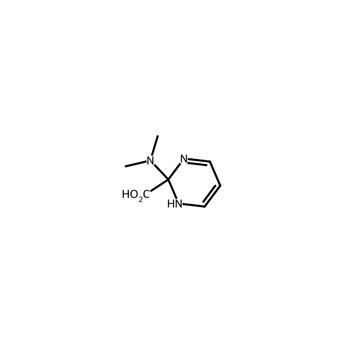 CN(C)C1(C(=O)O)N=CC=CN1